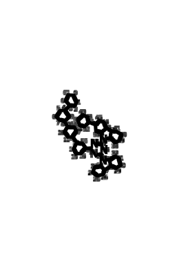 c1ccc(-c2cccc(-c3ccc(-c4cccc(-c5nc(-n6c7ccccc7c7ccccc76)nc(-n6c7ccccc7c7ccc(-c8ccccc8)cc76)n5)c4)cc3)c2)cc1